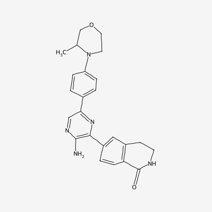 CC1COCCN1c1ccc(-c2cnc(N)c(-c3ccc4c(c3)CCNC4=O)n2)cc1